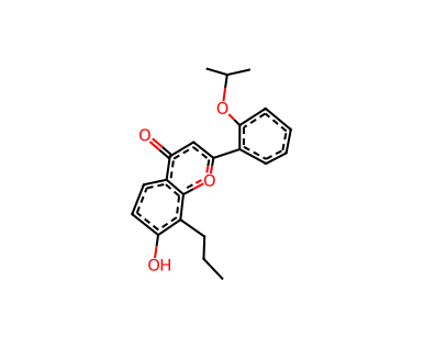 CCCc1c(O)ccc2c(=O)cc(-c3ccccc3OC(C)C)oc12